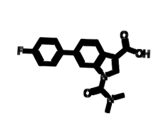 CN(C)C(=O)n1cc(C(=O)O)c2ccc(-c3ccc(F)cc3)cc21